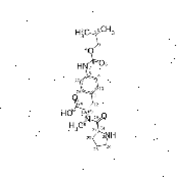 CC(C)COC(=O)Nc1ccc(C[C@@H](C(=O)O)N(C)C(=O)[C@@H]2CCCN2)cc1